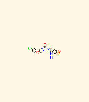 Cc1cc(Cl)ccc1OC1CCN(C[C@](C)(O)CNC(=O)c2c[nH]c3cc(S(C)(=O)=O)ccc23)CC1